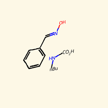 CCCCNC(=O)O.ON=Cc1ccccc1